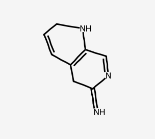 N=C1CC2=C(C=N1)NCC=C2